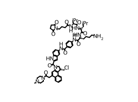 CC(C)C[C@H](NC(=O)C(NC(=O)CCCN1C(=O)CCC1=O)C(C)C)C(=O)N[C@@H](CCCCN)C(=O)Nc1ccc(C(=O)Nc2ccc3[nH]c(C(=O)N4C[C@@H](CCl)c5c4cc(CC(=O)N4CCN(C)CC4)c4ccccc54)cc3c2)cc1